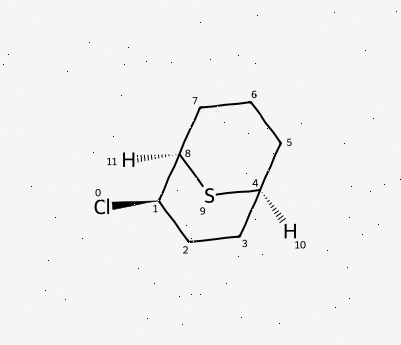 Cl[C@@H]1CC[C@@H]2CCC[C@H]1S2